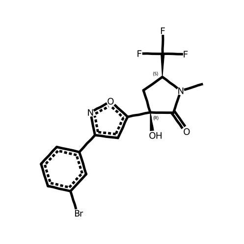 CN1C(=O)[C@](O)(c2cc(-c3cccc(Br)c3)no2)C[C@H]1C(F)(F)F